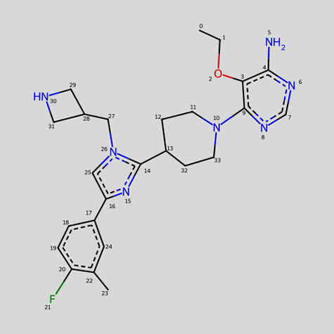 CCOc1c(N)ncnc1N1CCC(c2nc(-c3ccc(F)c(C)c3)cn2CC2CNC2)CC1